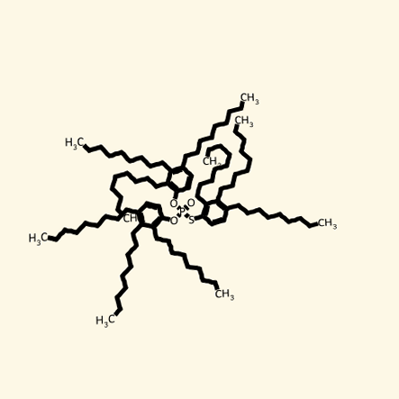 CCCCCCCCCc1ccc(OP(=O)(Oc2ccc(CCCCCCCCC)c(CCCCCCCCC)c2CCCCCCCCC)Sc2ccc(CCCCCCCCC)c(CCCCCCCCC)c2CCCCCCCCC)c(CCCCCCCCC)c1CCCCCCCCC